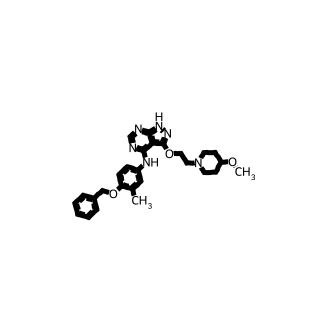 COC1CCN(CCOc2n[nH]c3ncnc(Nc4ccc(OCc5ccccc5)c(C)c4)c23)CC1